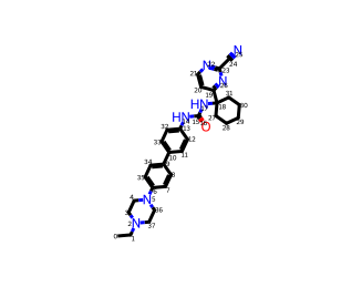 CCN1CCN(c2ccc(-c3ccc(NC(=O)NC4(c5ccnc(C#N)n5)CCCCC4)cc3)cc2)CC1